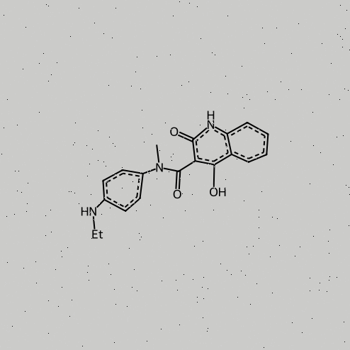 CCNc1ccc(N(C)C(=O)c2c(O)c3ccccc3[nH]c2=O)cc1